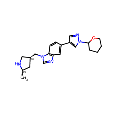 C[C@@H]1C[C@H](Cn2cnc3cc(-c4cnn(C5CCCCO5)c4)ccc32)CN1